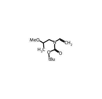 C=CN(CC(C)OC)C(=O)OC(C)(C)C